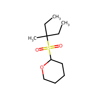 CCC(C)(CC)S(=O)(=O)C1CCCCO1